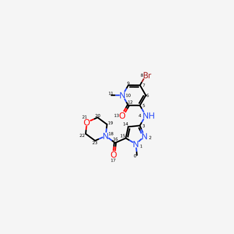 Cn1nc(Nc2cc(Br)cn(C)c2=O)cc1C(=O)N1CCOCC1